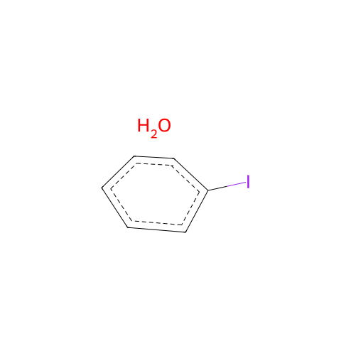 Ic1ccccc1.O